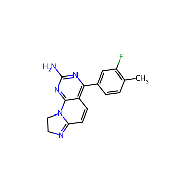 Cc1ccc(-c2nc(N)nc3c2C=CC2=NCCN23)cc1F